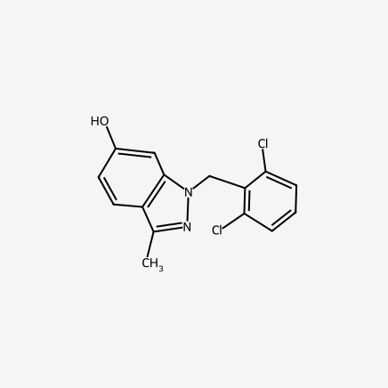 Cc1nn(Cc2c(Cl)cccc2Cl)c2cc(O)ccc12